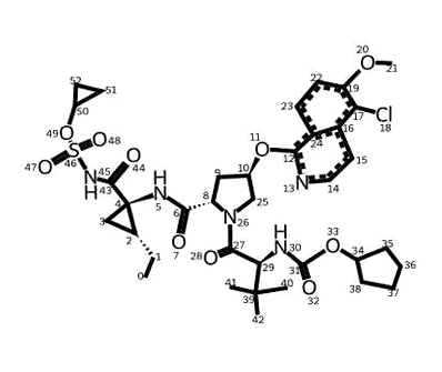 CC[C@@H]1C[C@]1(NC(=O)[C@@H]1C[C@@H](Oc2nccc3c(Cl)c(OC)ccc23)CN1C(=O)[C@@H](NC(=O)OC1CCCC1)C(C)(C)C)C(=O)NS(=O)(=O)OC1CC1